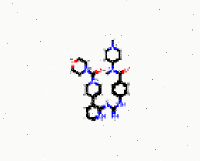 CN1CCC(N(C)C(=O)c2ccc(NC(=N)/N=c3\[nH]cccc3C3=CCN(C(=O)N4CCOCC4)CC3)cc2)CC1